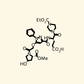 CCOC(=O)N1CCN(C(=O)[C@H](CCC(=O)O)NC(=O)c2cc(OCC(=O)N3C[C@@H](O)C[C@H]3C(=O)OC)n(-c3ccccc3)n2)CC1